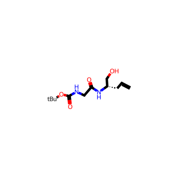 C=CC[C@@H](CO)NC(=O)CNC(=O)OC(C)(C)C